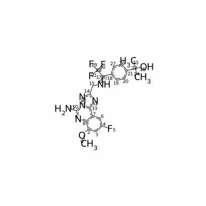 COc1cc(F)cc2c1nc(N)n1nc(CN[C@H](c3ccc(C(C)(C)O)cc3)C(F)(F)F)nc21